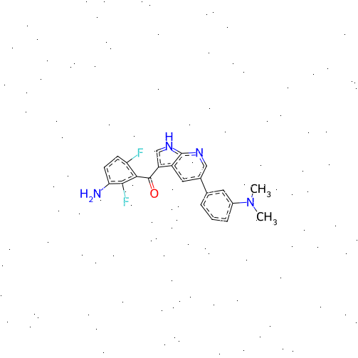 CN(C)c1cccc(-c2cnc3[nH]cc(C(=O)c4c(F)ccc(N)c4F)c3c2)c1